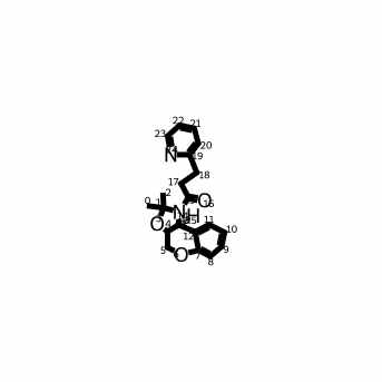 CC1(C)OC2COc3ccccc3[C@@H]2N1C(=O)CCc1ccccn1